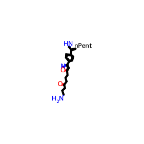 CCCCC/C=C(\C=N)c1ccc(-c2cc(CCCC(=O)CCCN)on2)cc1